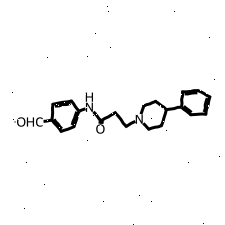 O=[C]c1ccc(NC(=O)CCN2CCC(c3ccccc3)CC2)cc1